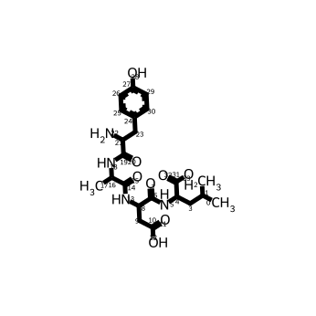 CC(C)CC(NC(=O)C(CC(=O)O)NC(=O)C(C)NC(=O)C(N)Cc1ccc(O)cc1)C(=O)O